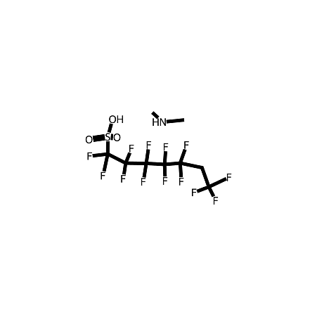 CNC.O=S(=O)(O)C(F)(F)C(F)(F)C(F)(F)C(F)(F)C(F)(F)CC(F)(F)F